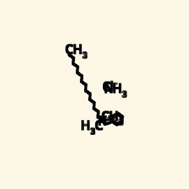 CCCCCCCCCCCCCCCC[N+](C)(C)Cc1ccccc1.N.[Cl-]